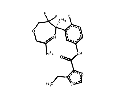 CCc1ocnc1C(=O)Nc1ccc(F)c([C@@]2(C)N=C(N)COCC2(F)F)c1